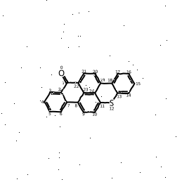 O=c1c2ccccc2c2ccc3sc4ccccc4c4ccc1c2c34